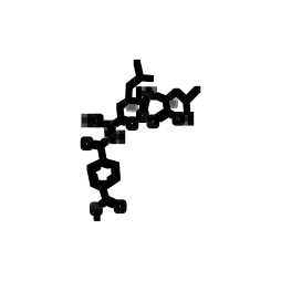 COC(=O)c1ccc(C(=O)NN(O)C(=O)C[C@@H](CC(C)C)C(=O)N[C@@H](CC(C)C)C(=O)O)cc1